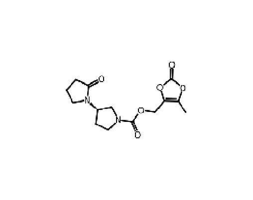 Cc1oc(=O)oc1COC(=O)N1CC[C@@H](N2CCCC2=O)C1